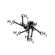 CCCCCCCCCCC[C@H](CC(=O)NC1[C@H](OC[C@@H]2CCCN2C(=O)C[C@@H](CCCCCCCCCCC)OC(=O)CCCCCCCCC)OC(CO)[C@@H](OP(=O)(O)O)[C@@H]1OC(=O)C[C@@H](CCCCCCCCCCC)OC(=O)CCCCCCCCC)OC(=O)CCCCCCCCC